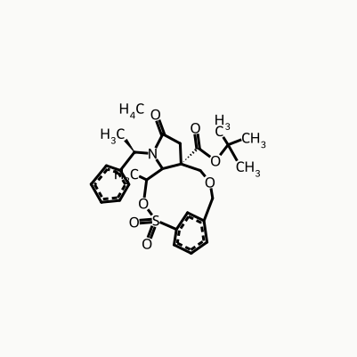 C.CC1OS(=O)(=O)c2cccc(c2)COC[C@]2(C(=O)OC(C)(C)C)CC(=O)N([C@H](C)c3ccccc3)C12